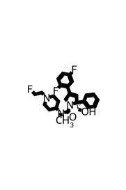 CN(C(=O)N1CC(c2cc(F)ccc2F)=C[C@@]1(CO)c1ccccc1)C1CCN(CCF)CC1